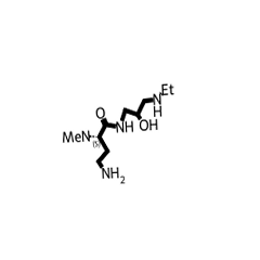 CCNCC(O)CNC(=O)[C@H](CCN)NC